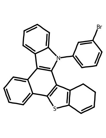 Brc1cccc(-n2c3ccccc3c3c4ccccc4c4sc5c(c4c32)CCC=C5)c1